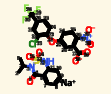 CC(C)N1C(=O)c2ccccc2NS1(=O)=O.O=C([O-])c1cc(Oc2ccc(C(F)(F)F)cc2Cl)ccc1[N+](=O)[O-].[Na+]